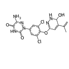 C=C(C)C1=CC(Oc2c(Cl)cc(-n3nc(N)c(=O)[nH]c3=O)cc2Cl)=NNC1O